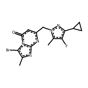 Cc1sc2nc(Cn3nc(C4CC4)c(F)c3C)cc(=O)n2c1Br